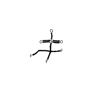 [O]S(=O)(=O)C(F)(F)CF